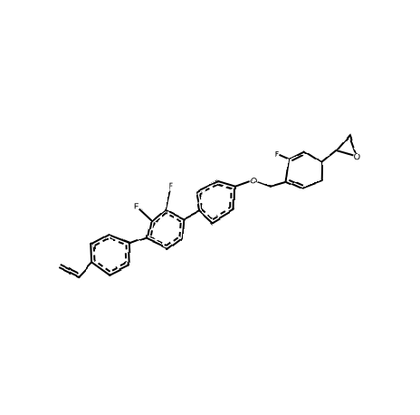 C=Cc1ccc(-c2ccc(-c3ccc(OCC4=CCC(C5CO5)C=C4F)cc3)c(F)c2F)cc1